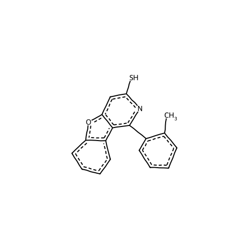 Cc1ccccc1-c1nc(S)cc2oc3ccccc3c12